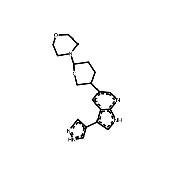 c1n[nH]cc1-c1c[nH]c2ncc(C3CCC(N4CCOCC4)CC3)cc12